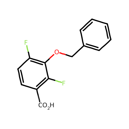 O=C(O)c1ccc(F)c(OCc2ccccc2)c1F